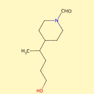 CC(CCCO)C1CCN(C=O)CC1